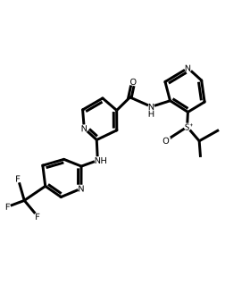 CC(C)[S+]([O-])c1ccncc1NC(=O)c1ccnc(Nc2ccc(C(F)(F)F)cn2)c1